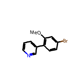 COc1cc(Br)ccc1-c1cccnc1